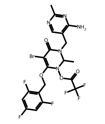 Cc1ncc(CN2C(=O)C(Br)=C(OCc3c(F)cc(F)cc3F)N(OC(=O)C(F)(F)F)C2C)c(N)n1